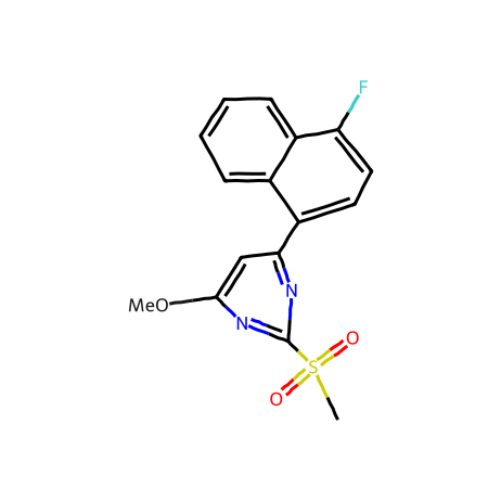 COc1cc(-c2ccc(F)c3ccccc23)nc(S(C)(=O)=O)n1